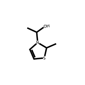 CC(O)N1C=CSC1C